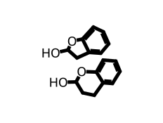 OC1CCc2ccccc2O1.OC1Cc2ccccc2O1